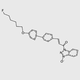 O=C(/C=C/c1ccc(-c2ccc(OCCCCCCF)cc2)cc1)n1n[n+]([O-])c2ccccc21